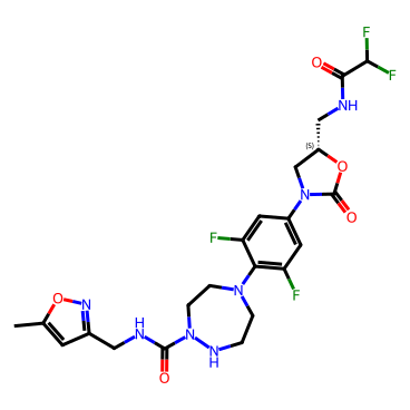 Cc1cc(CNC(=O)N2CCN(c3c(F)cc(N4C[C@H](CNC(=O)C(F)F)OC4=O)cc3F)CCN2)no1